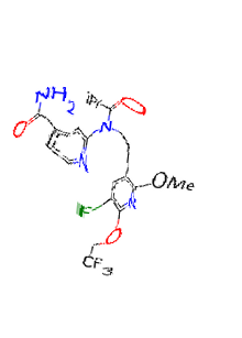 COc1nc(OCC(F)(F)F)c(F)cc1CN(C(=O)C(C)C)c1cc(C(N)=O)ccn1